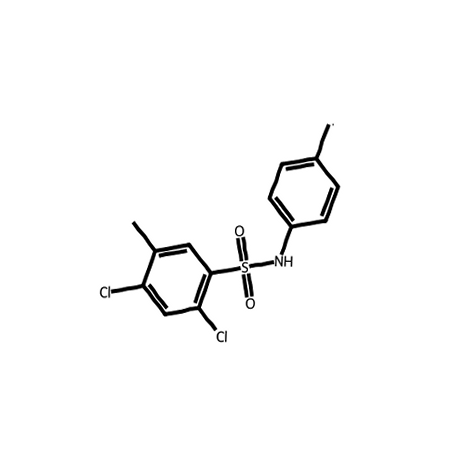 [CH2]c1ccc(NS(=O)(=O)c2cc(C)c(Cl)cc2Cl)cc1